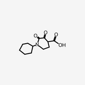 O=C(O)C1CCN(C2CCCCC2)C(=O)C1=O